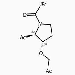 CC(=O)CO[C@H]1CCN(C(=O)C(C)C)[C@@H]1C(C)=O